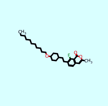 CCCCCCCCCCCOC1CCC(CCc2ccc3cc(C)oc(=O)c3c2F)CC1